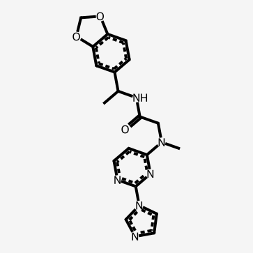 CC(NC(=O)CN(C)c1ccnc(-n2ccnc2)n1)c1ccc2c(c1)OCO2